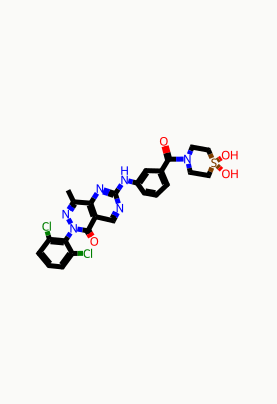 Cc1nn(-c2c(Cl)cccc2Cl)c(=O)c2cnc(Nc3cccc(C(=O)N4CCS(O)(O)CC4)c3)nc12